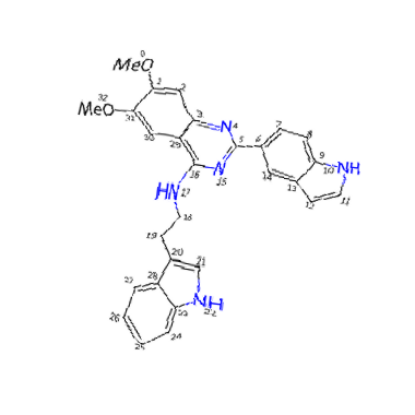 COc1cc2nc(-c3ccc4[nH]ccc4c3)nc(NCCc3c[nH]c4ccccc34)c2cc1OC